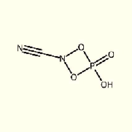 N#CN1OP(=O)(O)O1